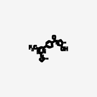 C[C@@H]1CN(C(=O)c2ccc(-c3cc(C(F)(F)F)nc(N4CC[C@@H]4C)n3)cc2)C[C@@H]1O